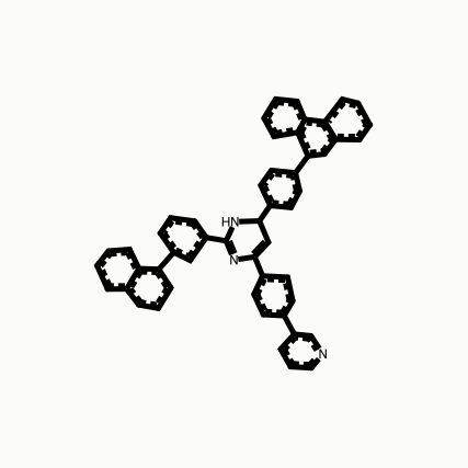 C1=C(c2ccc(-c3cccnc3)cc2)N=C(c2cccc(-c3cccc4ccccc34)c2)NC1c1ccc(-c2cc3ccccc3c3ccccc23)cc1